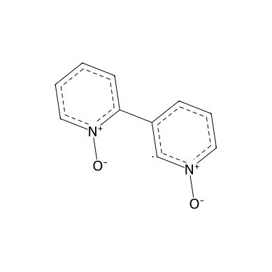 [O-][n+]1[c]c(-c2cccc[n+]2[O-])ccc1